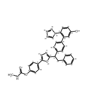 CNC(=O)Oc1ccc(-c2nnc(C(Cc3ccccc3)c3ccc(-c4cc(Cl)ccc4-n4cnnn4)cn3)o2)cc1